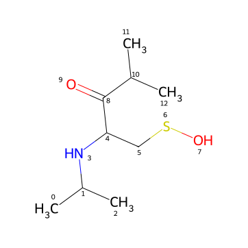 CC(C)NC(CSO)C(=O)C(C)C